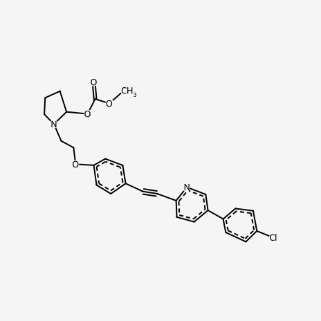 COC(=O)OC1CCCN1CCOc1ccc(C#Cc2ccc(-c3ccc(Cl)cc3)cn2)cc1